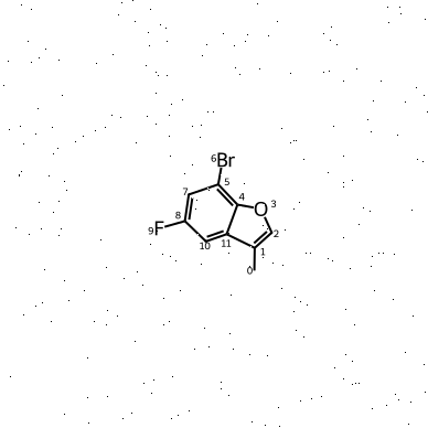 Cc1coc2c(Br)cc(F)cc12